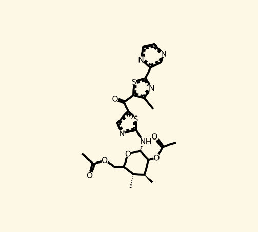 CC(=O)OCC1O[C@H](Nc2ncc(C(=O)c3sc(-c4cnccn4)nc3C)s2)C(OC(C)=O)[C@@H](C)[C@@H]1C